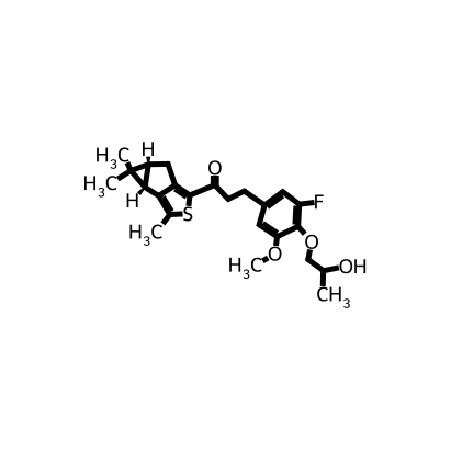 COc1cc(CCC(=O)c2sc(C)c3c2C[C@@H]2[C@H]3C2(C)C)cc(F)c1OCC(C)O